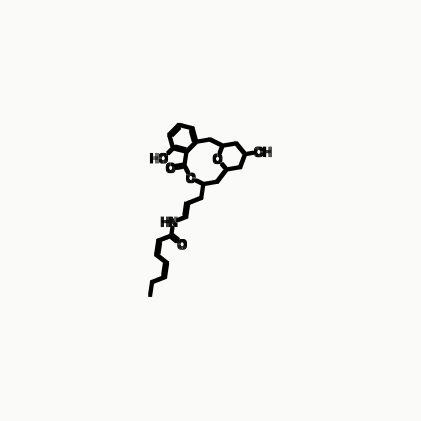 CC/C=C\C=C/C(=O)N/C=C/CC1CC2CC(O)CC(Cc3cccc(O)c3C(=O)O1)O2